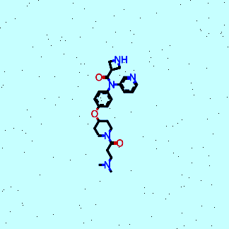 CN(C)CCC(=O)N1CCC(Oc2ccc(N(C(=O)C3CNC3)c3cccnc3)cc2)CC1